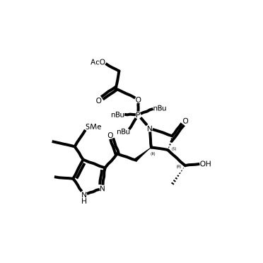 CCCCP(CCCC)(CCCC)(OC(=O)COC(C)=O)N1C(=O)[C@H]([C@@H](C)O)[C@H]1CC(=O)c1n[nH]c(C)c1C(C)SC